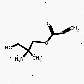 C=CC(=O)OCC(C)(N)CO